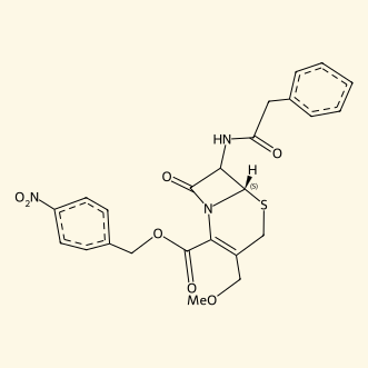 COCC1=C(C(=O)OCc2ccc([N+](=O)[O-])cc2)N2C(=O)C(NC(=O)Cc3ccccc3)[C@@H]2SC1